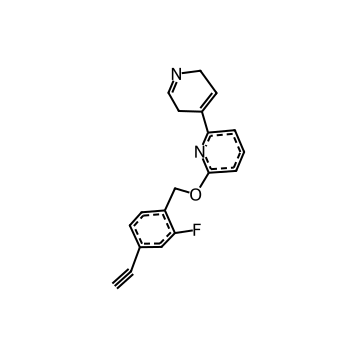 C#Cc1ccc(COc2cccc(C3=CCN=CC3)n2)c(F)c1